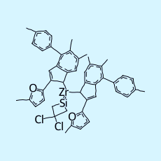 Cc1ccc(-c2c(C)c(C)cc3c2C=C(c2ccc(C)o2)[CH]3[Zr]([CH]2C(c3ccc(C)o3)=Cc3c2cc(C)c(C)c3-c2ccc(C)cc2)=[Si]2CC(Cl)(Cl)C2)cc1